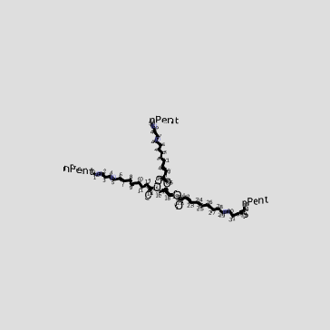 CCCCC/C=C/C/C=C/CCCCCCCC(=O)OCC(COC(=O)CCCCCCC/C=C/CC1SC1CCCCC)OC(=O)CCCCCCC/C=C/C/C=C/CCCCC